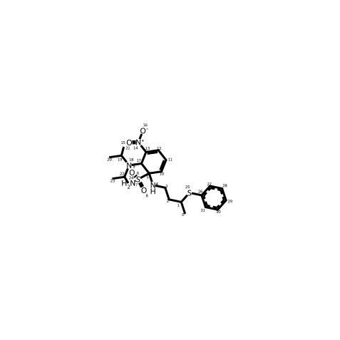 CC(CCNC1(S(N)(=O)=O)C=CC=C([N+](=O)[O-])C1N(C(C)C)C(C)C)Sc1ccccc1